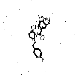 C[C@@H]1CC[C@H](CCc2ccc(F)cc2)N1C(=O)c1ccc2[nH]ncc2c1